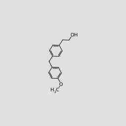 COc1ccc(Cc2[c]cc(CCO)cc2)cc1